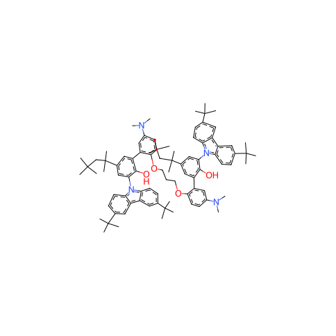 CN(C)c1ccc(OCCCOc2ccc(N(C)C)cc2-c2cc(C(C)(C)CC(C)(C)C)cc(-n3c4ccc(C(C)(C)C)cc4c4cc(C(C)(C)C)ccc43)c2O)c(-c2cc(C(C)(C)CC(C)(C)C)cc(-n3c4ccc(C(C)(C)C)cc4c4cc(C(C)(C)C)ccc43)c2O)c1